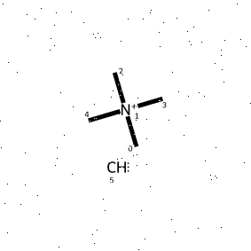 C[N+](C)(C)C.[CH]